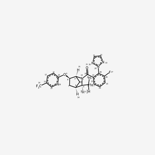 [2H]C([2H])([2H])[C@@]1([2H])[C@H]2C[C@@H](Oc3ccc(C(F)(F)F)cn3)[C@H](C2)N1C(=O)c1cccc(F)c1-n1nccn1